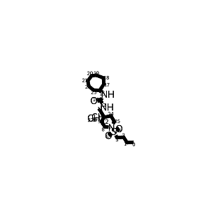 CCCCS(=O)(=O)N1CCC(CNC(=O)N[C]2CCCCCCC2)CC1.[CH2].[CH2]